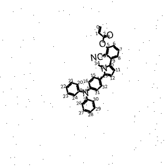 C=CC(=O)Oc1cccc(-c2ccc(-c3ccc(N(c4ccccc4)c4ccccc4)cc3)n2C)c1C#N